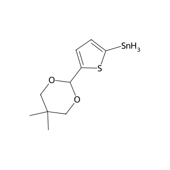 CC1(C)COC(c2cc[c]([SnH3])s2)OC1